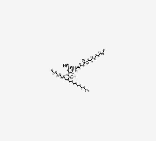 CCCCCCCCCCC(CCCCCCCC)[C@@H](O)CN(CCO)C[C@H](O)CCCCCC(=O)OCCCCCCCCC